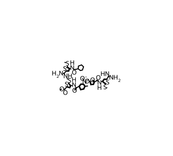 COC(=O)c1cc(NC(=O)c2ccc(C)c([N+](=O)[O-])c2)c(SC)s1.CSc1sc(C(=N)N)cc1NC(=O)C1CCCCC1.CSc1sc(C(=N)N)cc1NC(=O)c1ccco1